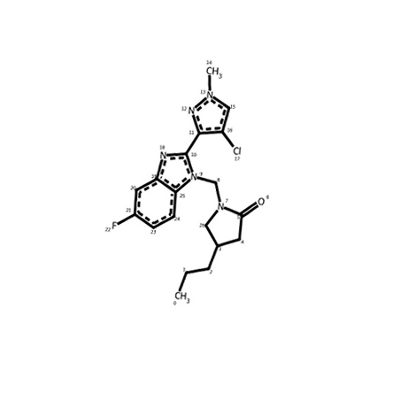 CCCC1CC(=O)N(Cn2c(-c3nn(C)cc3Cl)nc3cc(F)ccc32)C1